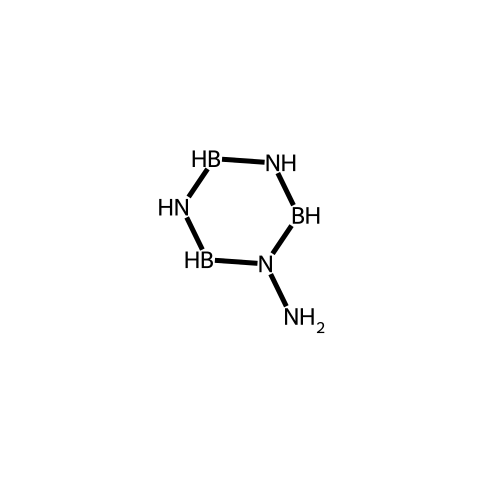 NN1BNBNB1